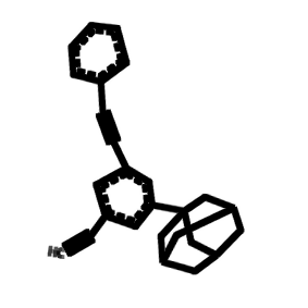 C#Cc1cc(C#Cc2ccccc2)cc(C23CC4CC(CC(C4)C2)C3)c1